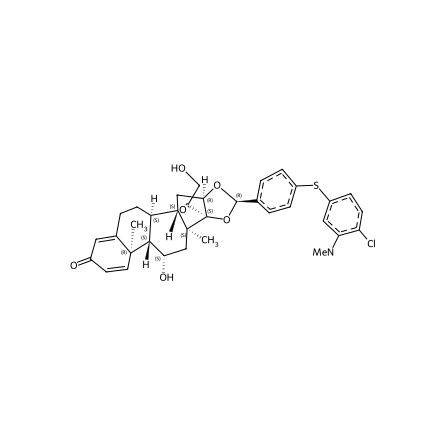 CNc1cc(Sc2ccc([C@@H]3O[C@@H]4C[C@H]5[C@@H]6CCC7=CC(=O)C=C[C@]7(C)[C@H]6[C@@H](O)C[C@]5(C)[C@]4(C(=O)CO)O3)cc2)ccc1Cl